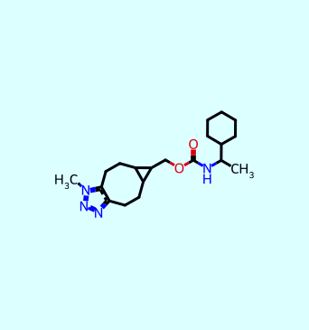 CC(NC(=O)OCC1C2CCc3nnn(C)c3CCC21)C1CCCCC1